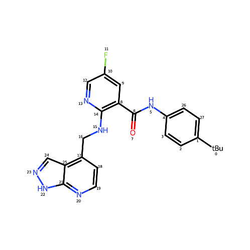 CC(C)(C)c1ccc(NC(=O)c2cc(F)cnc2NCc2ccnc3[nH]ncc23)cc1